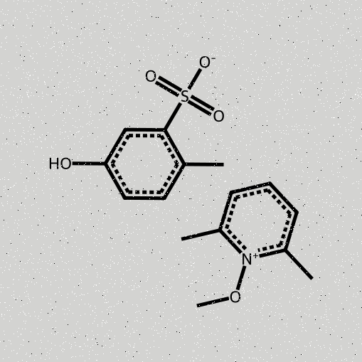 CO[n+]1c(C)cccc1C.Cc1ccc(O)cc1S(=O)(=O)[O-]